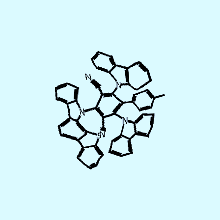 Cc1ccc(-c2c(-n3c4c(c5ccccc53)C=CCC4)c(C#N)c(-n3c4ccccc4c4ccc5c6ccccc6sc5c43)c(C#N)c2-n2c3ccccc3c3ccccc32)cc1